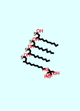 CCCCCCCCCCC(C)CC(O)=S.CCCCCCCCCCC(C)CC(O)=S.CCCCCCCCCCC(C)CC(O)=S.CCCCCCCCCCC(C)CC(O)=S.OCC(CO)(CO)CO